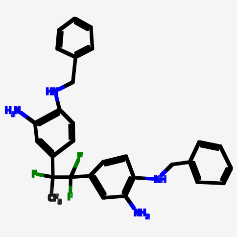 Nc1cc(C(F)(F)C(F)(c2ccc(NCc3ccccc3)c(N)c2)C(F)(F)F)ccc1NCc1ccccc1